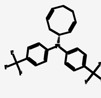 FC(F)(F)c1cc[c]([Pt]([c]2ccc(C(F)(F)F)cc2)[C@H]2/C=C\CC/C=C\C2)cc1